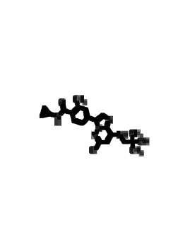 Cc1cc(-c2cnc3c(NCC(C)(C)O)cc(Cl)nn23)ccc1C(=O)NC1CC1